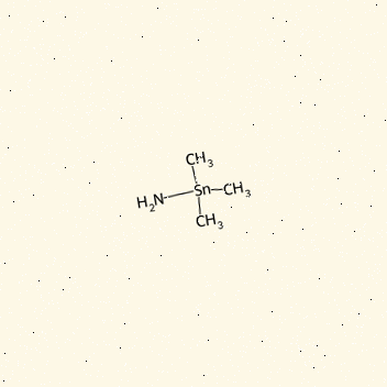 [CH3][Sn]([CH3])([CH3])[NH2]